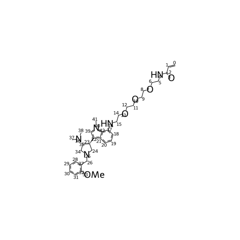 C=CC(=O)NCCOCCOCCOCCNc1cccc2c([C@H]3CN(Cc4ccccc4OC)C[C@@H]3N(C)C)cn(C)c12